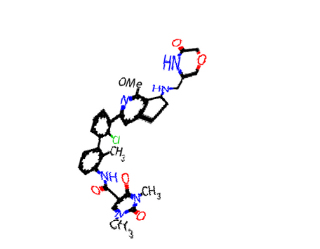 COc1nc(-c2cccc(-c3cccc(NC(=O)c4cn(C)c(=O)n(C)c4=O)c3C)c2Cl)cc2c1[C@@H](NC[C@@H]1COCC(=O)N1)CC2